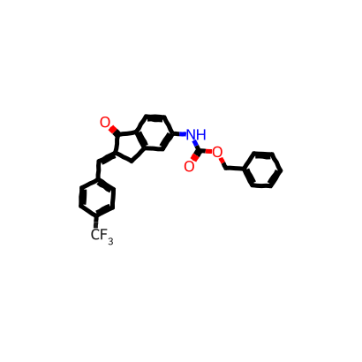 O=C(Nc1ccc2c(c1)C/C(=C\c1ccc(C(F)(F)F)cc1)C2=O)OCc1ccccc1